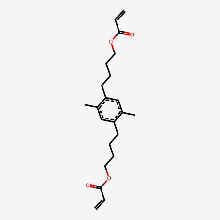 C=CC(=O)OCCCCc1cc(C)c(CCCCOC(=O)C=C)cc1C